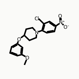 COc1cccc(OC2CCN(c3ccc([N+](=O)[O-])cc3Cl)CC2)c1